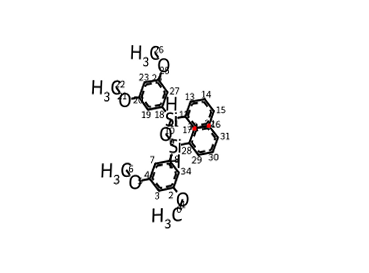 COc1cc(OC)cc([SiH](O[SiH](c2ccccc2)c2cc(OC)cc(OC)c2)c2ccccc2)c1